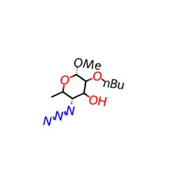 CCCCOC1C(O)[C@H](N=[N+]=[N-])C(C)O[C@@H]1OC